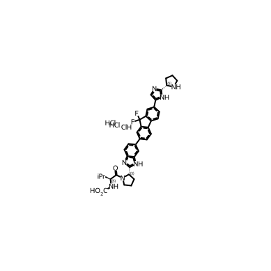 CC(C)[C@H](NC(=O)O)C(=O)N1CCC[C@H]1c1nc2ccc(-c3ccc4c(c3)C(F)(F)c3cc(-c5cnc([C@@H]6CCCN6)[nH]5)ccc3-4)cc2[nH]1.Cl.Cl.Cl